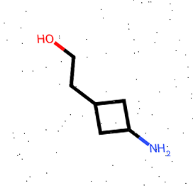 NC1CC(CCO)C1